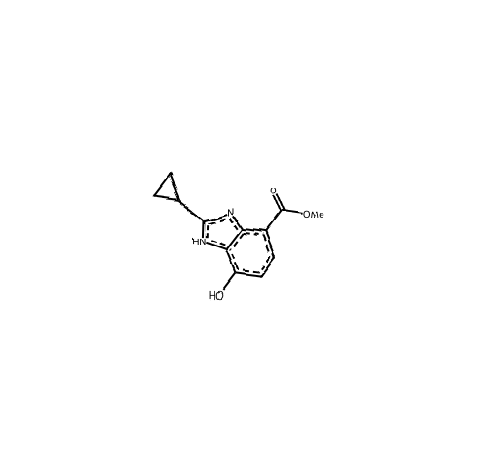 COC(=O)c1ccc(O)c2[nH]c(C3CC3)nc12